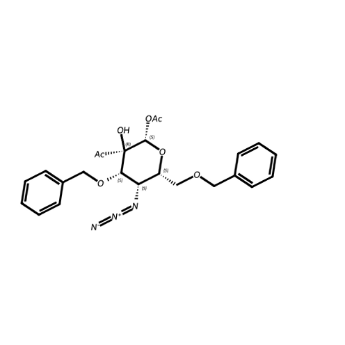 CC(=O)O[C@@H]1O[C@H](COCc2ccccc2)[C@H](N=[N+]=[N-])[C@H](OCc2ccccc2)[C@]1(O)C(C)=O